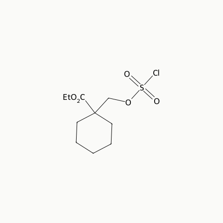 CCOC(=O)C1(COS(=O)(=O)Cl)CCCCC1